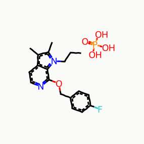 CCCn1c(C)c(C)c2ccnc(OCc3ccc(F)cc3)c21.O=P(O)(O)O